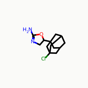 NC1=NCC(C23CC4CC(CC(Cl)(C4)C2)C3)O1